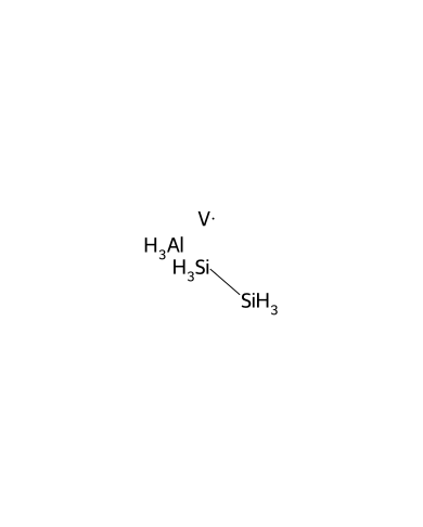 [AlH3].[SiH3][SiH3].[V]